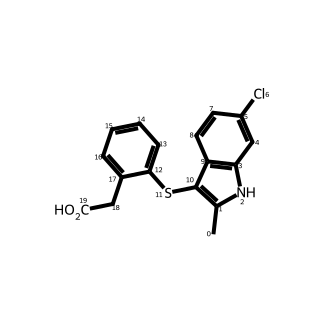 Cc1[nH]c2cc(Cl)ccc2c1Sc1ccccc1CC(=O)O